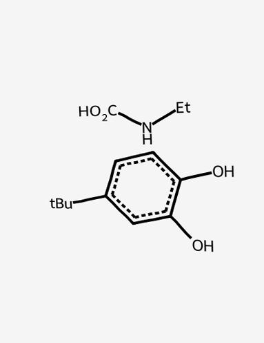 CC(C)(C)c1ccc(O)c(O)c1.CCNC(=O)O